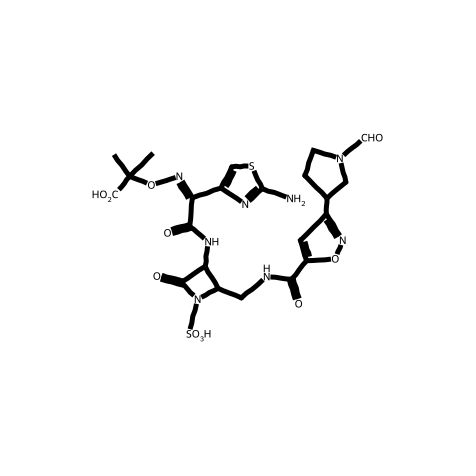 CC(C)(O/N=C(\C(=O)NC1C(=O)N(S(=O)(=O)O)C1CNC(=O)c1cc(C2CCN(C=O)C2)no1)c1csc(N)n1)C(=O)O